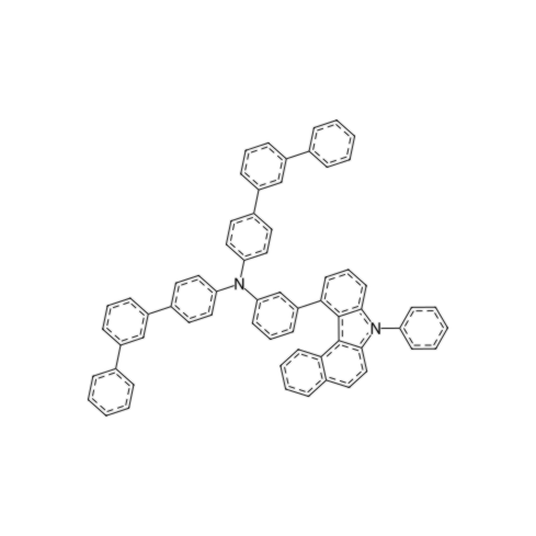 c1ccc(-c2cccc(-c3ccc(N(c4ccc(-c5cccc(-c6ccccc6)c5)cc4)c4cccc(-c5cccc6c5c5c7ccccc7ccc5n6-c5ccccc5)c4)cc3)c2)cc1